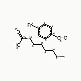 CC(C)c1ccc(C=O)cc1.CCCCCCCC(=O)O